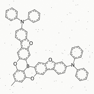 Cc1cc2c3c(c1)Oc1cc4c(cc1B3c1cc3oc5cc(N(c6ccccc6)c6ccccc6)ccc5c3cc1O2)oc1cc(N(c2ccccc2)c2ccccc2)ccc14